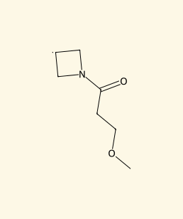 COCCC(=O)N1C[CH]C1